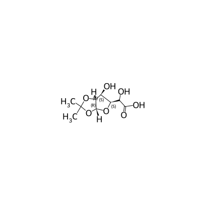 CC1(C)O[C@H]2O[C@H](C(O)C(=O)O)[C@H](O)[C@H]2O1